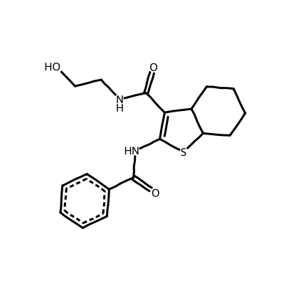 O=C(NCCO)C1=C(NC(=O)c2ccccc2)SC2CCCCC12